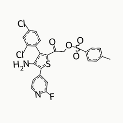 Cc1ccc(S(=O)(=O)OCC(=O)c2sc(-c3ccnc(F)c3)c(N)c2-c2ccc(Cl)cc2Cl)cc1